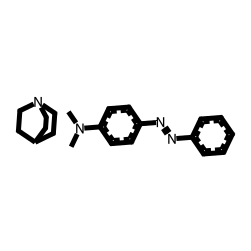 C1CN2CCC1CC2.CN(C)c1ccc(N=Nc2ccccc2)cc1